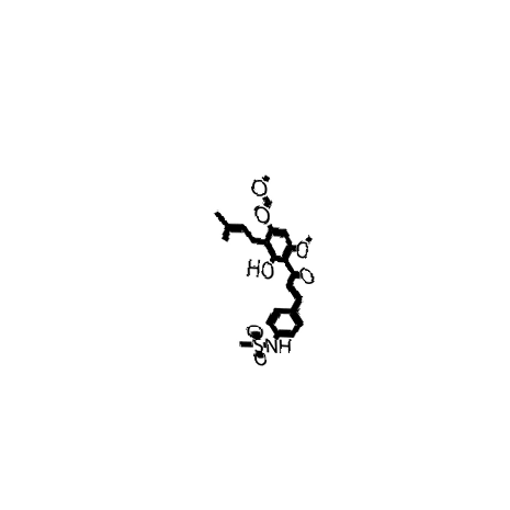 COCOc1cc(OC)c(C(=O)C=Cc2ccc(NS(C)(=O)=O)cc2)c(O)c1CC=C(C)C